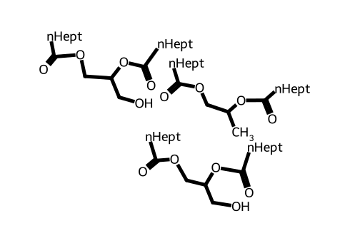 CCCCCCCC(=O)OCC(C)OC(=O)CCCCCCC.CCCCCCCC(=O)OCC(CO)OC(=O)CCCCCCC.CCCCCCCC(=O)OCC(CO)OC(=O)CCCCCCC